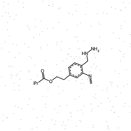 C=Nc1cc(CCOC(=O)C(C)C)ccc1CNN